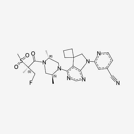 C[C@@H]1CN(c2ncnc3c2C2(CCC2)CN3c2cc(C#N)ccn2)[C@@H](C)CN1C(=O)[C@@](C)(CF)S(C)(=O)=O